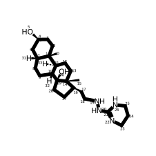 C[C@]12CC[C@H](O)C[C@H]1CC[C@@H]1[C@@H]2CC[C@]2(C)[C@@H](CCNNC3=NCCCN3)CC[C@]12O